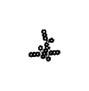 CC1(C)c2cc(N(c3ccccc3)c3ccc4cc5ccccc5cc4c3)ccc2-c2cc3c(N(c4ccccc4)c4ccc5cc6ccccc6cc5c4)c4ccccc4c(N(c4ccccc4)c4ccc5cc6ccccc6cc5c4)c3cc21